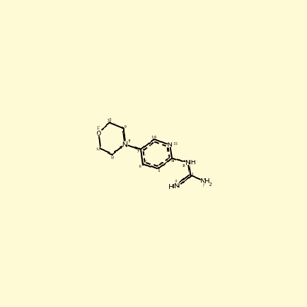 N=C(N)Nc1ccc(N2CCOCC2)cn1